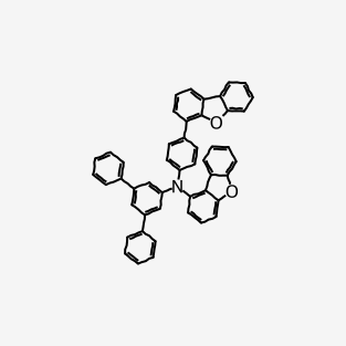 c1ccc(-c2cc(-c3ccccc3)cc(N(c3ccc(-c4cccc5c4oc4ccccc45)cc3)c3cccc4oc5ccccc5c34)c2)cc1